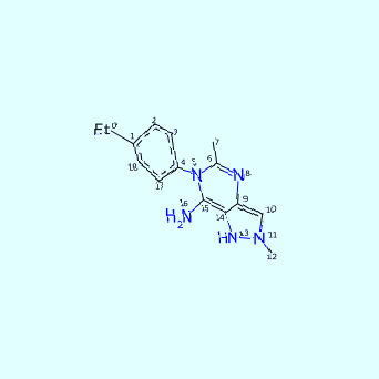 CCc1ccc(N2C(C)=NC3=CN(C)NC3=C2N)cc1